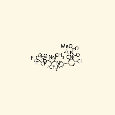 COC(=O)N(C(=O)c1cc(-c2cnn(-c3c(C(F)(F)F)c(OS(=O)(=O)C(F)(C(F)(F)F)C(F)(F)F)nn3C)c2)ccc1Cl)C1(C#N)CC1